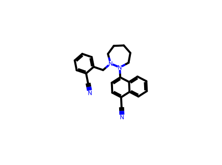 N#Cc1ccccc1CN1CCCCCN1c1ccc(C#N)c2ccccc12